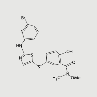 CON(C)C(=O)c1cc(Sc2cnc(Nc3cccc(Br)n3)s2)ccc1O